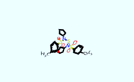 Cc1ccc(S(=O)(=O)N(SN(C2CCCC2)S(=O)(=O)c2ccc(C)cc2)C2CCCC2)cc1